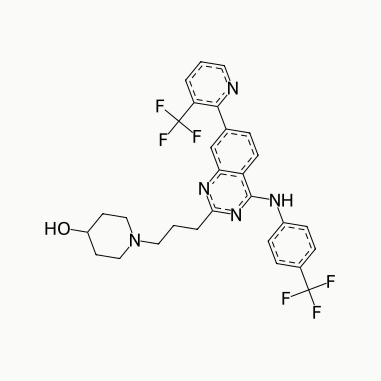 OC1CCN(CCCc2nc(Nc3ccc(C(F)(F)F)cc3)c3ccc(-c4ncccc4C(F)(F)F)cc3n2)CC1